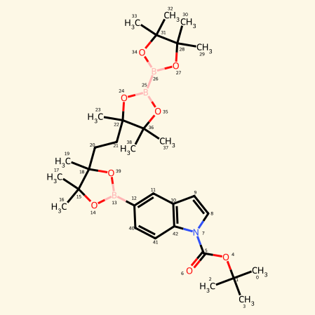 CC(C)(C)OC(=O)n1ccc2cc(B3OC(C)(C)C(C)(CCC4(C)OB(B5OC(C)(C)C(C)(C)O5)OC4(C)C)O3)ccc21